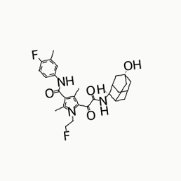 Cc1cc(NC(=O)c2c(C)c(C(=O)C(=O)N[C@H]3C4CC5CC3C[C@](O)(C5)C4)n(CCF)c2C)ccc1F